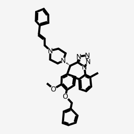 COc1cc([C@@H](c2nnnn2-c2c(C)cccc2C)N2CCN(C/C=C/c3ccccc3)CC2)ccc1OCc1ccccc1